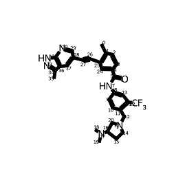 Cc1ccc(C(=O)Nc2ccc(CN3CCC(N(C)C)C3)c(C(F)(F)F)c2)cc1C#Cc1cnc2[nH]nc(C)c2c1